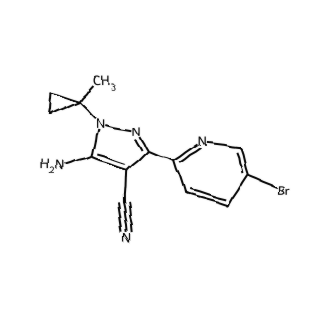 CC1(n2nc(-c3ccc(Br)cn3)c(C#N)c2N)CC1